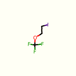 FC(F)(F)OCCI